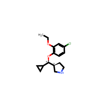 CCOc1cc(Cl)ccc1O[C@H](C1CC1)[C@H]1CCNC1